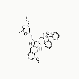 CCCCC[C@@H](CC[C@H]1[C@H](CC(C)(C)[Si](O)(c2ccccc2)c2ccccc2)C[C@@H]2Cc3c(cccc3OC)C[C@@H]21)OC(C)=O